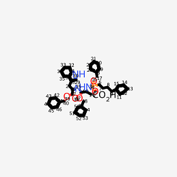 O=C(O)CC(NP(=O)(CCCCc1ccccc1)OCc1ccccc1)C(=NC(Cc1c[nH]c2ccccc12)C(=O)OCc1ccccc1)OCc1ccccc1